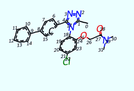 Cc1nnc(-c2ccc(-c3ccccc3)cc2)n1-c1ccc(Cl)cc1OCC(=O)N(C)C